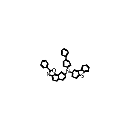 c1ccc(-c2ccc(N(c3ccc4sc5ccccc5c4c3)c3ccc4ccc5nc(-c6ccccc6)oc5c4c3)cc2)cc1